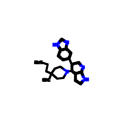 CNCCC1(C=O)CCN(c2c(-c3ccc4[nH]cnc4c3)cnc3[nH]ccc23)CC1